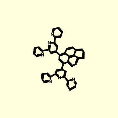 c1ccc(-c2cc(-c3cc(-c4cc(-c5ccccn5)nc(-c5ccccn5)c4)c4ccc5cccc6ccc3c4c65)cc(-c3ccccn3)n2)nc1